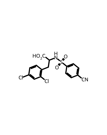 N#Cc1ccc(S(=O)(=O)NC(Cc2ccc(Cl)cc2Cl)C(=O)O)cc1